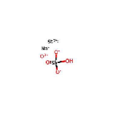 [Na+].[O-2].[O]=[Sb]([O-])([O-])[OH].[Sb+3]